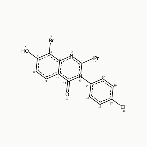 CC(C)c1nc2c(Br)c(O)ccc2c(=O)n1-c1ccc(Cl)cc1